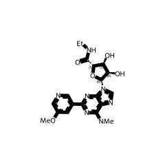 CCNC(=O)[C@H]1O[C@@H](n2cnc3c(NC)nc(-c4cncc(OC)c4)nc32)[C@H](O)[C@@H]1O